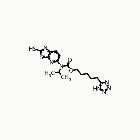 CC(C)N(C(=O)OCCCCCc1nnn[nH]1)c1ccc2nc(S)sc2n1